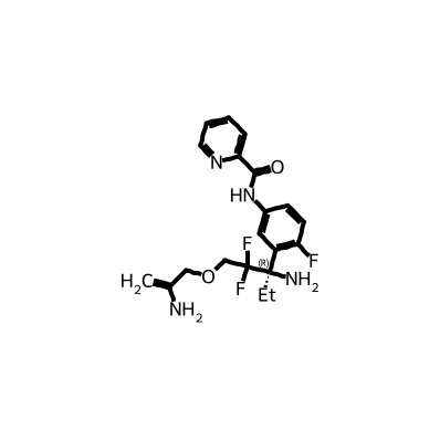 C=C(N)COCC(F)(F)[C@@](N)(CC)c1cc(NC(=O)c2ccccn2)ccc1F